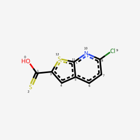 OC(=S)c1cc2ccc(Cl)nc2s1